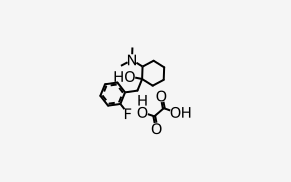 CN(C)C1CCCCC1(O)Cc1ccccc1F.O=C(O)C(=O)O